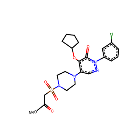 COC(=O)CS(=O)(=O)N1CCN(c2cnn(-c3cccc(Cl)c3)c(=O)c2OC2CCCC2)CC1